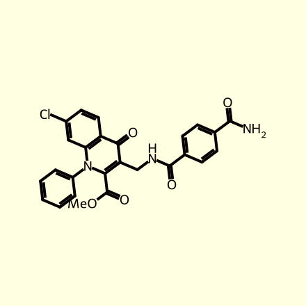 COC(=O)c1c(CNC(=O)c2ccc(C(N)=O)cc2)c(=O)c2ccc(Cl)cc2n1-c1ccccc1